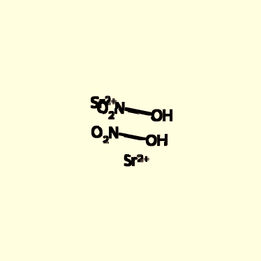 O=[N+]([O-])O.O=[N+]([O-])O.[Sr+2].[Sr+2]